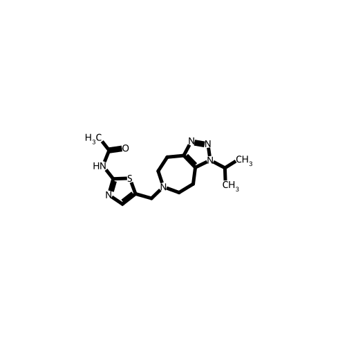 CC(=O)Nc1ncc(CN2CCc3nnn(C(C)C)c3CC2)s1